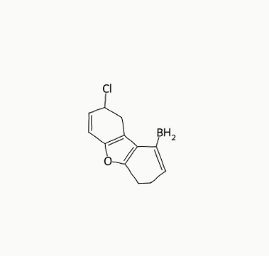 BC1=CCCc2oc3c(c21)CC(Cl)C=C3